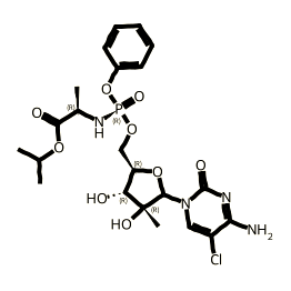 CC(C)OC(=O)[C@@H](C)N[P@@](=O)(OC[C@H]1OC(n2cc(Cl)c(N)nc2=O)[C@](C)(O)[C@@H]1O)Oc1ccccc1